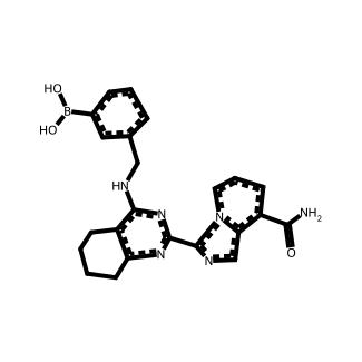 NC(=O)c1cccn2c(-c3nc4c(c(NCc5cccc(B(O)O)c5)n3)CCCC4)ncc12